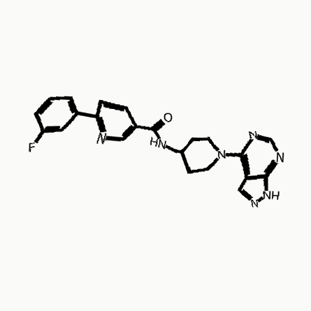 O=C(NC1CCN(c2ncnc3[nH]ncc23)CC1)c1ccc(-c2cccc(F)c2)nc1